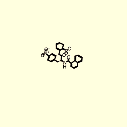 O=C(N[C@@H](Cc1ccc([N+](=O)[O-])cc1)C(=O)CC1=CC=CCC1=S(=O)=O)c1cccc2ccccc12